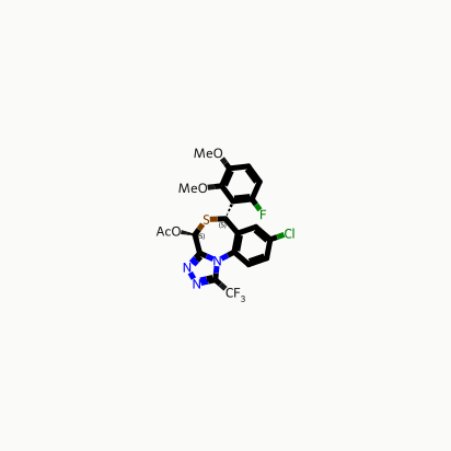 COc1ccc(F)c([C@H]2S[C@H](OC(C)=O)c3nnc(C(F)(F)F)n3-c3ccc(Cl)cc32)c1OC